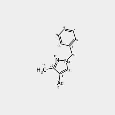 CC(=O)c1cn(Cc2ccccc2)nc1C